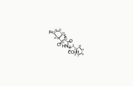 O=C(N[C@H](Cc1ccccc1)C(=O)O)c1sc2ccc(F)cc2c1Cl